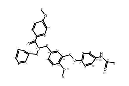 COc1ccc(C(=O)N(Cc2ccccc2)Cc2ccc(OC)c(COc3ccc(NC(C)=O)cc3)c2)cc1